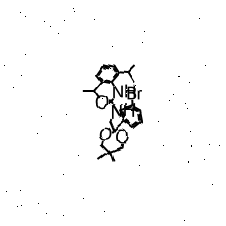 CC(C)c1cccc(C(C)C)c1NC(=O)NCC1(c2cccc(Br)c2)OCC(C)(C)CO1